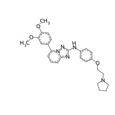 COc1ccc(-c2cccc3nc(Nc4ccc(OCCN5CCCC5)cc4)nn23)cc1OC